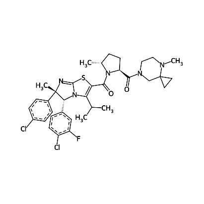 CC(C)C1=C(C(=O)N2[C@H](C)CC[C@H]2C(=O)N2CCN(C)C3(CC3)C2)SC2=N[C@@](C)(c3ccc(Cl)cc3)[C@@H](c3ccc(Cl)c(F)c3)N21